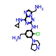 NCc1cc(Nc2nc(NC3CC3)c3ncc(CN)n3n2)c(Cl)c(N2CCN3CCC2C3)c1